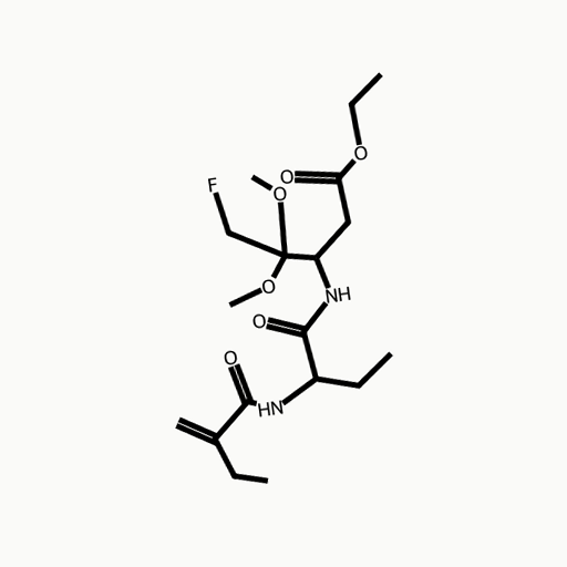 C=C(CC)C(=O)NC(CC)C(=O)NC(CC(=O)OCC)C(CF)(OC)OC